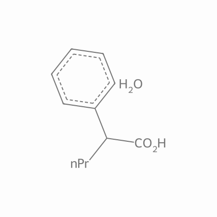 CCCC(C(=O)O)c1ccccc1.O